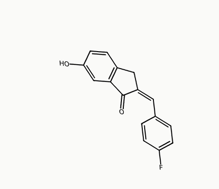 O=C1C(=Cc2ccc(F)cc2)Cc2ccc(O)cc21